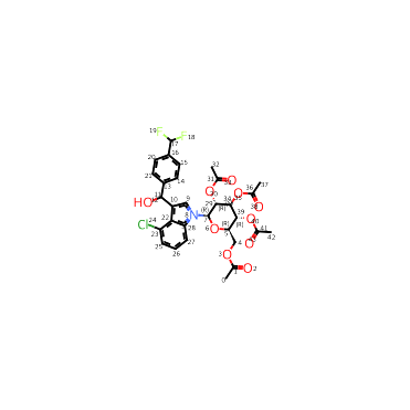 CC(=O)OC[C@H]1O[C@@H](n2cc(C(O)c3ccc(C(F)F)cc3)c3c(Cl)cccc32)[C@H](OC(C)=O)[C@@H](OC(C)=O)[C@@H]1OC(C)=O